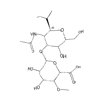 COC1C(C(=O)O)OC(OC2C(O)C(CO)O[C@H](C(C)C)C2NC(C)=O)C(O)C1O